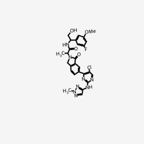 COc1cc(F)cc(C(CO)NC(=O)C(C)N2Cc3ccc(-c4nc(Nc5cnn(C)n5)ncc4Cl)cc3C2=O)c1